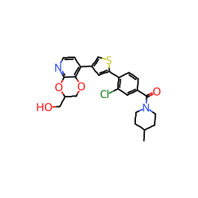 CC1CCN(C(=O)c2ccc(-c3cc(-c4ccnc5c4OCC(CO)O5)cs3)c(Cl)c2)CC1